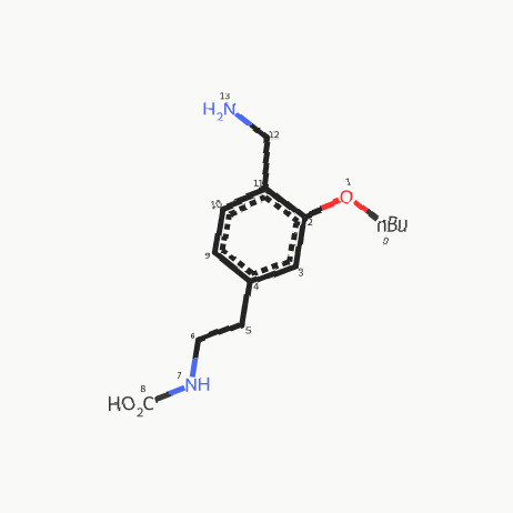 CCCCOc1cc(CCNC(=O)O)ccc1CN